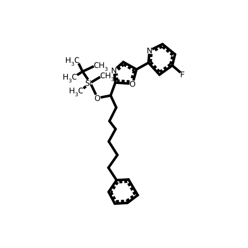 CC(C)(C)[Si](C)(C)OC(CCCCCCc1ccccc1)c1ncc(-c2cc(F)ccn2)o1